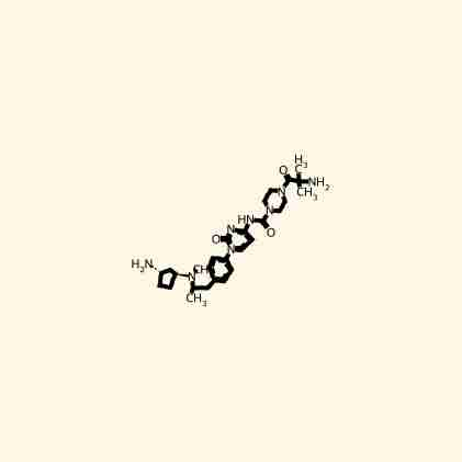 CC(Cc1ccc(-n2ccc(NC(=O)N3CCN(C(=O)C(C)(C)N)CC3)nc2=O)cc1)N(C)[C@H]1CC[C@H](N)C1